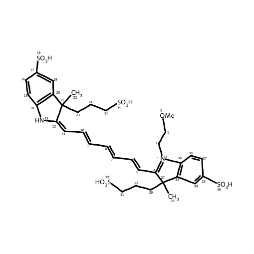 COCC[N+]1=C(/C=C/C=C/C=C/C=C2/Nc3ccc(S(=O)(=O)O)cc3C2(C)CCCS(=O)(=O)O)C(C)(CCCS(=O)(=O)O)c2cc(S(=O)(=O)O)ccc21